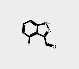 O=Cc1n[nH]c2cccc(F)c12